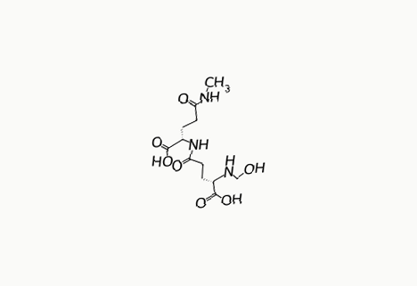 CNC(=O)CC[C@H](NC(=O)CC[C@H](NCO)C(=O)O)C(=O)O